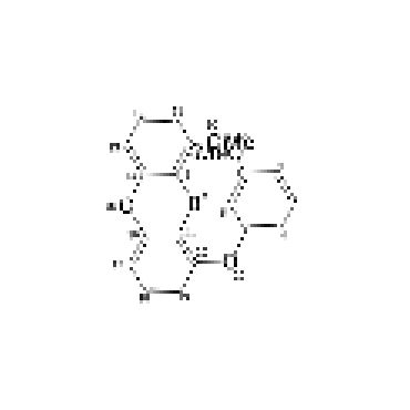 COc1cccc2c1B1c3c(OC)cccc3Oc3cccc(c31)O2